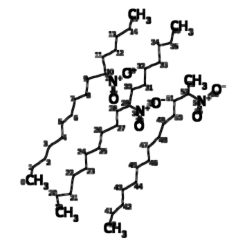 CCCCCCCCCCC(CCCCC)[N+](=O)[O-].CCCCCCCCCCC(CCCCCCC)[N+](=O)[O-].CCCCCCCCCCCCC(C)[N+](=O)[O-]